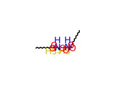 CCCCCCCCCCOC(=O)C(CS)NC(=O)COCC(=S)NC(CS)C(=O)OCCCCCCCCCC